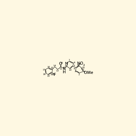 COc1ccc(-c2ccnc(NC(=O)CCc3ccccc3F)c2)c([N+](=O)[O-])c1